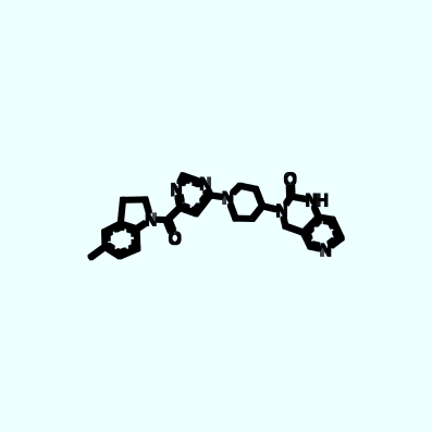 Cc1ccc2c(c1)CCN2C(=O)c1cc(N2CCC(N3Cc4cnccc4NC3=O)CC2)ncn1